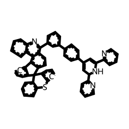 C1=C(c2ccc(-c3cccc(-c4nc5ccccc5c5c6c(ccc45)C4(c5ccccc5Sc5ccccc54)c4ccccc4-6)c3)cc2)C=C(c2ccccn2)NC1c1ccccn1